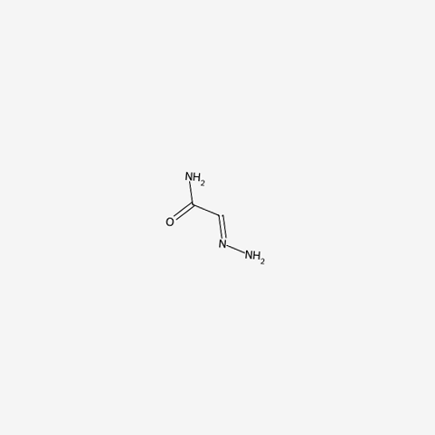 N/N=[C]/C(N)=O